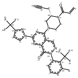 C=CC(=O)N1CCN(c2nc(-n3ccc(C(F)(F)F)n3)nc3c(=O)n(-c4cccc(C)c4C(F)(F)F)ncc23)C[C@@H]1CC#N